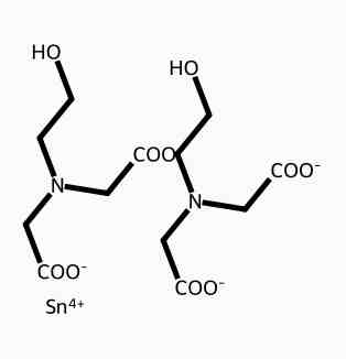 O=C([O-])CN(CCO)CC(=O)[O-].O=C([O-])CN(CCO)CC(=O)[O-].[Sn+4]